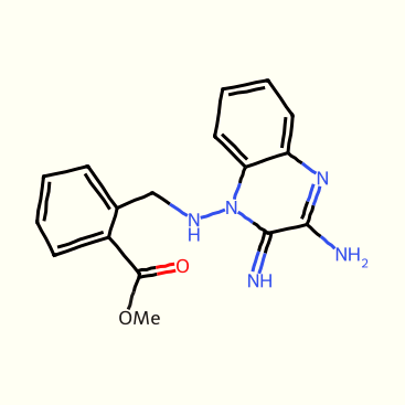 COC(=O)c1ccccc1CNn1c(=N)c(N)nc2ccccc21